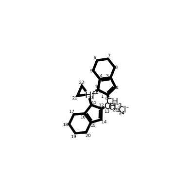 CC1=CC2=C(CCCC2)[CH]1[Hf+2]1([CH]2C(C)=CC3=C2CCCC3)[CH2][CH2]1.[Cl-].[Cl-]